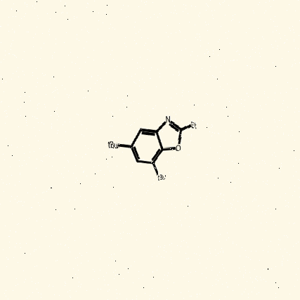 CCc1nc2cc(C(C)(C)C)cc(C(C)(C)C)c2o1